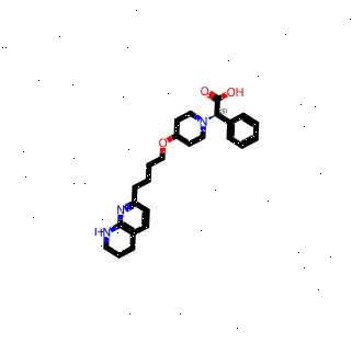 O=C(O)[C@H](c1ccccc1)N1CCC(OCCCCc2ccc3c(n2)NCCC3)CC1